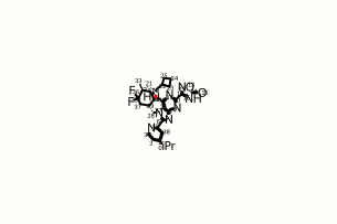 CC(C)c1ccnc(-c2nc3nc(-c4noc(=O)[nH]4)nc(N[C@H](C)C4CCC4)c3n2C[C@H]2CC[C@H](C)C(F)(F)C2)c1